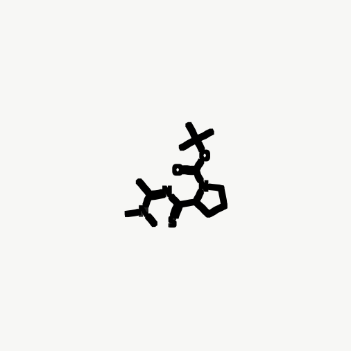 CC(=NC(=S)C1CCCN1C(=O)OC(C)(C)C)N(C)C